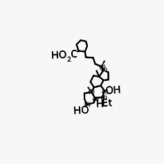 CC[C@H]1[C@@H](O)C2C3CC[C@H]([C@H](C)CCCC4CCCCC4C(=O)O)C3(C)CCC2[C@@]2(C)CC[C@@H](O)C[C@@H]12